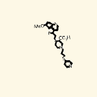 COc1ccc2nccc(C(F)CC[C@@H]3CCN(CCCSc4ccncc4)C[C@@H]3C(=O)O)c2c1